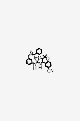 CN(Cc1ccccc1)Cc1cccc(NC(=O)NC2c3cc(C#N)ccc3OC(C)(C)C2O)c1